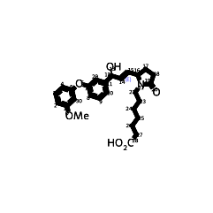 COc1cccc(Oc2cccc([C@H](O)/C=C/C3CCC(=O)N3CCCCCCC(=O)O)c2)c1